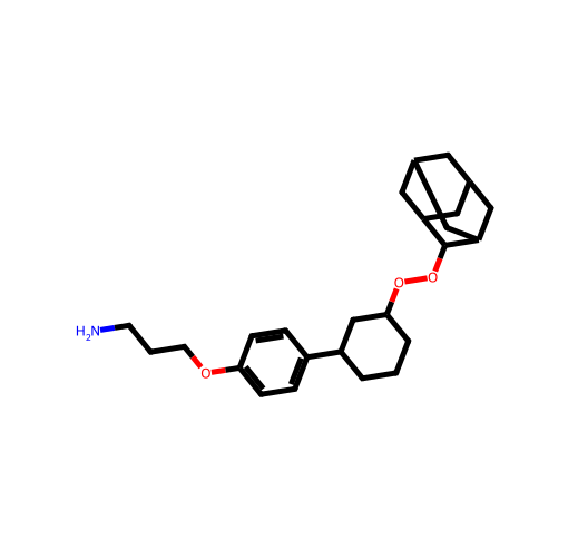 NCCCOc1ccc(C2CCCC(OOC3C4CC5CC(C4)CC3C5)C2)cc1